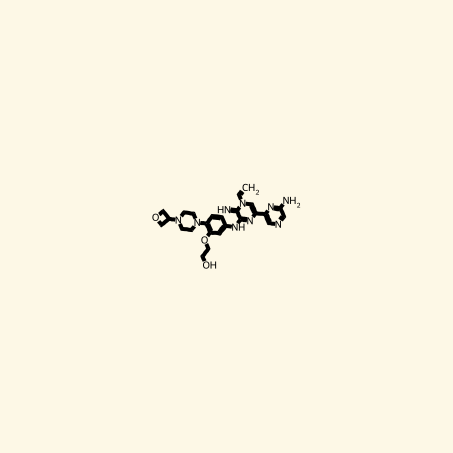 C=Cn1cc(-c2cncc(N)n2)nc(Nc2ccc(N3CCN(C4COC4)CC3)c(OCCO)c2)c1=N